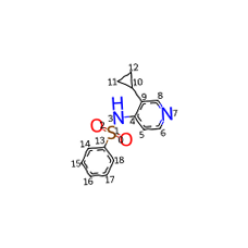 O=S(=O)(Nc1ccncc1C1CC1)c1ccccc1